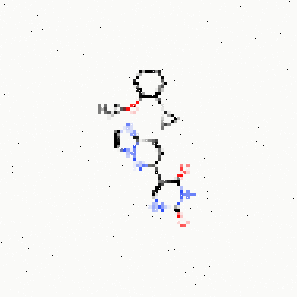 COc1ccccc1[C@H]1C[C@@H]1c1cc(-c2c[nH]c(=O)[nH]c2=O)nn2ccnc12